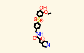 CCOc1cc(S(=O)(=O)c2ccc(CNC(=O)c3cc4ccncc4o3)cc2)ccc1O